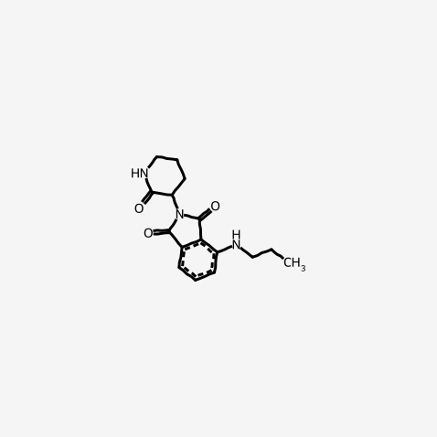 CCCNc1cccc2c1C(=O)N(C1CCCNC1=O)C2=O